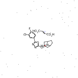 CN1C2CCC1CC(Oc1nnc(-c3ccc(F)c(Cl)c3)s1)C2.O=C(O)/C=C/C(=O)O